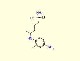 CCC(N)(CC)CCCC(C)Nc1ccc(N)cc1C